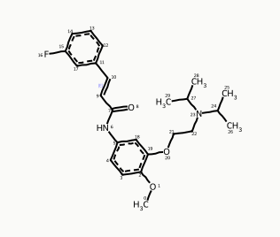 COc1ccc(NC(=O)/C=C/c2cccc(F)c2)cc1OCCN(C(C)C)C(C)C